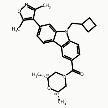 Cc1noc(C)c1-c1ccc2c3cc(C(=O)N4C[C@@H](C)O[C@@H](C)C4)ccc3n(CC3CCC3)c2c1